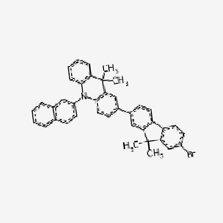 CC1(C)c2cc(Br)ccc2-c2ccc(-c3ccc4c(c3)C(C)(C)c3ccccc3N4c3ccc4ccccc4c3)cc21